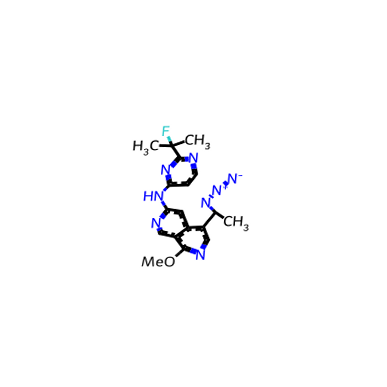 COc1ncc(C(C)N=[N+]=[N-])c2cc(Nc3ccnc(C(C)(C)F)n3)ncc12